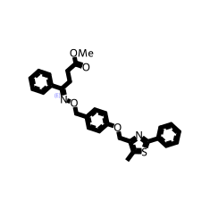 COC(=O)CC/C(=N\OCc1ccc(OCc2nc(-c3ccccc3)sc2C)cc1)c1ccccc1